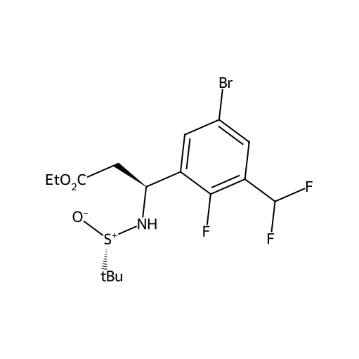 CCOC(=O)C[C@H](N[S@@+]([O-])C(C)(C)C)c1cc(Br)cc(C(F)F)c1F